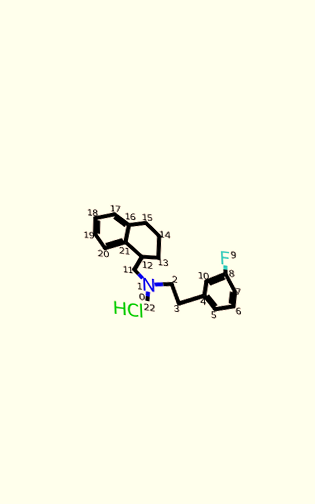 CN(CCc1cccc(F)c1)CC1CCCc2ccccc21.Cl